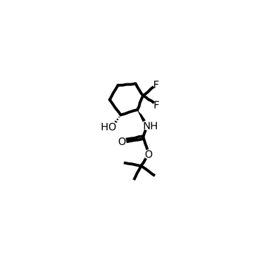 CC(C)(C)OC(=O)N[C@H]1[C@H](O)CCCC1(F)F